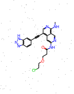 CNc1ncc(C#Cc2ccc3nn[nH]c3c2)c2cc(NC(=O)CCOCCCl)ncc12